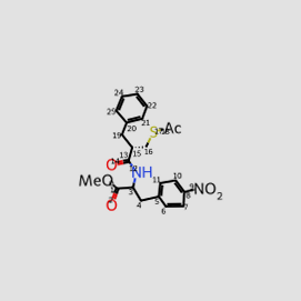 COC(=O)C(Cc1ccc([N+](=O)[O-])cc1)NC(=O)[C@@H](CSC(C)=O)Cc1ccccc1